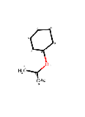 CC(=O)OC(C)OC1CCCCC1